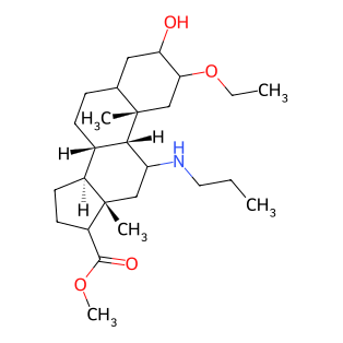 CCCNC1C[C@]2(C)C(C(=O)OC)CC[C@H]2[C@@H]2CCC3CC(O)C(OCC)C[C@]3(C)[C@H]12